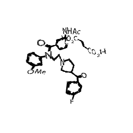 COc1cccc(N(CCN2CCC(C(=O)c3ccc(F)cc3)CC2)C(=O)c2cccc(NC(C)=O)c2)c1.O=C(O)C=CC(=O)O